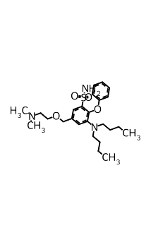 CCCCN(CCCC)c1cc(COCCN(C)C)cc(S(N)(=O)=O)c1Oc1ccccc1